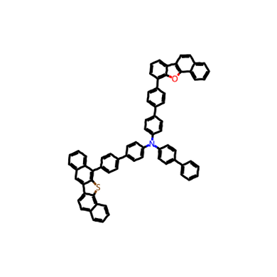 c1ccc(-c2ccc(N(c3ccc(-c4ccc(-c5cccc6c5oc5c7ccccc7ccc65)cc4)cc3)c3ccc(-c4ccc(-c5c6ccccc6cc6c5sc5c7ccccc7ccc65)cc4)cc3)cc2)cc1